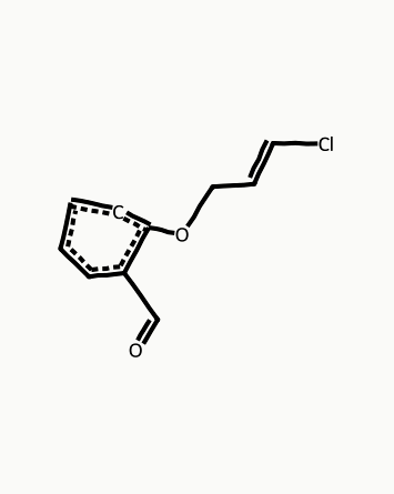 O=Cc1ccccc1OCC=CCl